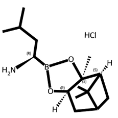 CC(C)C[C@H](N)B1O[C@@H]2CC3C[C@@H](C3(C)C)[C@]2(C)O1.Cl